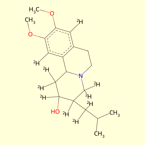 [2H]c1c2c(c([2H])c(OC)c1OC)C1N(CC2)C([2H])([2H])C([2H])(C([2H])([2H])C(C)C)C([2H])(O)C1([2H])[2H]